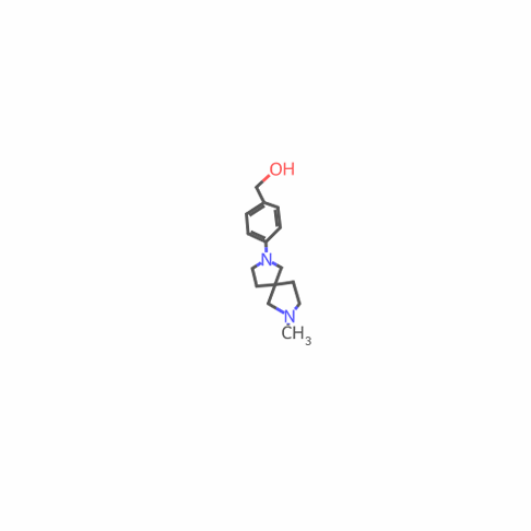 CN1CCC2(CCN(c3ccc(CO)cc3)C2)C1